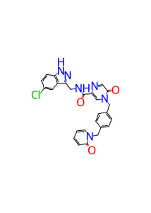 O=C(NCc1n[nH]c2ccc(Cl)cc12)c1cn(Cc2ccc(Cn3ccccc3=O)cc2)c(=O)cn1